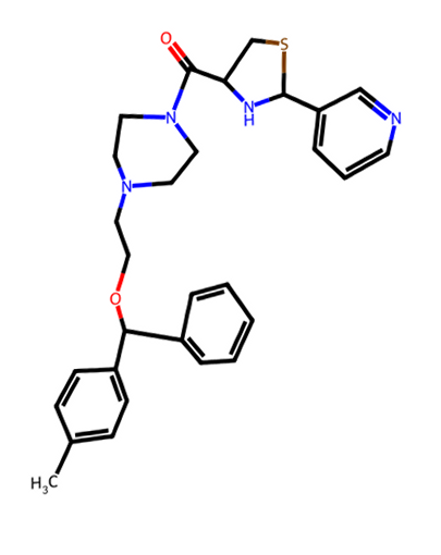 Cc1ccc(C(OCCN2CCN(C(=O)C3CSC(c4cccnc4)N3)CC2)c2ccccc2)cc1